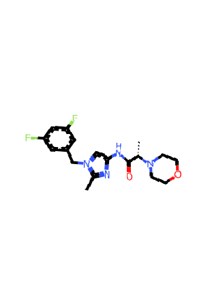 Cc1nc(NC(=O)[C@H](C)N2CCOCC2)cn1Cc1cc(F)cc(F)c1